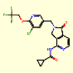 O=C(Nc1nccc2c1CN(Cc1cnc(OCC(F)(F)F)c(Cl)c1)C2=O)C1CC1